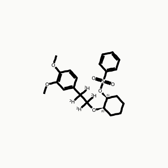 [2H]C([2H])(O[C@@H]1CCCC[C@@H]1OS(=O)(=O)c1ccccc1)C([2H])([2H])c1ccc(OC)c(OC)c1